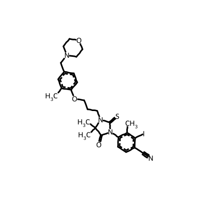 Cc1cc(CN2CCOCC2)ccc1OCCCN1C(=S)N(c2ccc(C#N)c(I)c2C)C(=O)C1(C)C